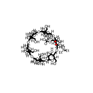 CCN(CC)CC.O=P(O)(O)OC[C@H]1O[C@@H]2O[C@H]3[C@H](O)[C@@H](O)[C@@H](O[C@H]4[C@H](O)[C@@H](O)[C@@H](O[C@H]5[C@H](O)[C@@H](O)[C@@H](O[C@H]6[C@H](O)[C@@H](O)[C@@H](O[C@H]7[C@H](O)[C@@H](O)[C@@H](O[C@H]1[C@H](O)[C@H]2O)O[C@@H]7CO)O[C@@H]6CO)O[C@@H]5CO)O[C@@H]4CO)O[C@@H]3CO